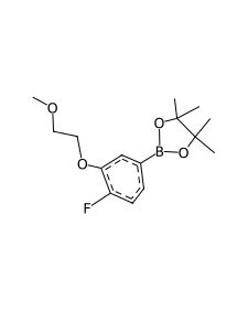 COCCOc1cc(B2OC(C)(C)C(C)(C)O2)ccc1F